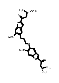 COc1cc2sc(C(=O)C[C@H](C)C(=O)O)cc2cc1CCCOc1cc2cc(C(=O)C[C@H](C)C(=O)O)sc2cc1OC